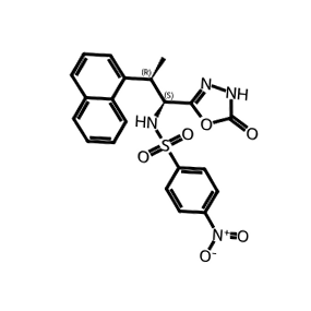 C[C@H](c1cccc2ccccc12)[C@H](NS(=O)(=O)c1ccc([N+](=O)[O-])cc1)c1n[nH]c(=O)o1